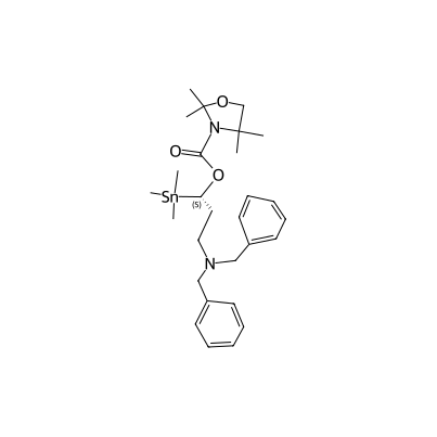 CC1(C)COC(C)(C)N1C(=O)O[C@H](CCN(Cc1ccccc1)Cc1ccccc1)[Sn]([CH3])([CH3])[CH3]